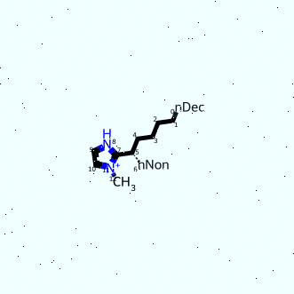 CCCCCCCCCCCCCC[C@H](CCCCCCCCC)c1[nH]cc[n+]1C